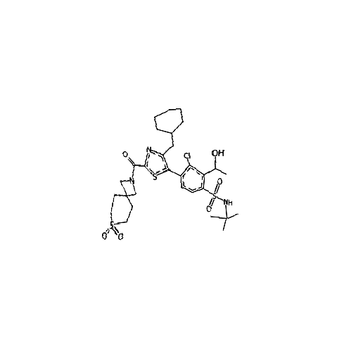 CC(O)c1c(S(=O)(=O)NC(C)(C)C)ccc(-c2sc(C(=O)N3CC4(CCS(=O)(=O)CC4)C3)nc2CC2CCCCC2)c1Cl